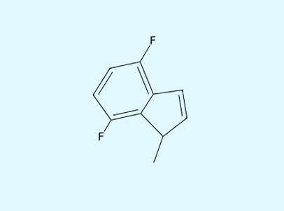 CC1C=Cc2c(F)ccc(F)c21